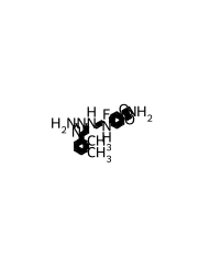 Cc1cccc(-c2cc(NCCNc3ccc(S(N)(=O)=O)cc3F)nc(N)n2)c1C